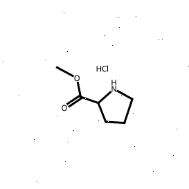 COC(=O)C1CCCN1.Cl